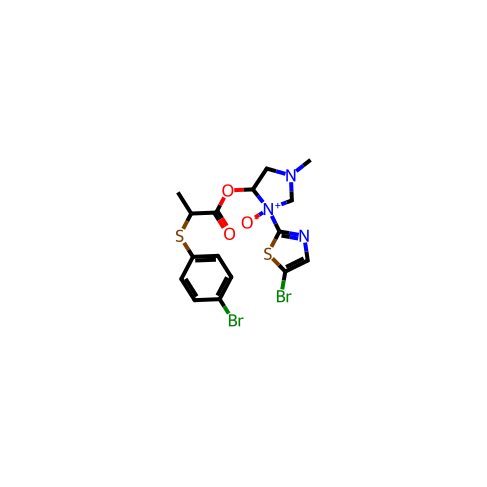 CC(Sc1ccc(Br)cc1)C(=O)OC1CN(C)C[N+]1([O-])c1ncc(Br)s1